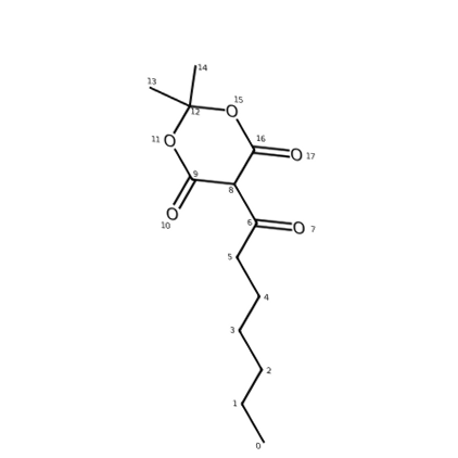 CCCCCCC(=O)C1C(=O)OC(C)(C)OC1=O